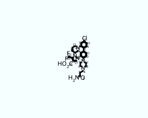 NC(=O)CCN1CCN(c2ccc(-c3ccc(Cl)cc3N3CCCC(n4ncc(C(=O)O)c4C(F)F)C3)cc2)CC1